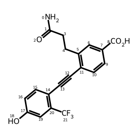 NC(=O)CCc1cc(C(=O)O)ccc1C#Cc1ccc(O)cc1C(F)(F)F